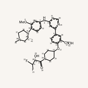 COc1nc(Nc2cc(-c3ccc(OC4CCN(C(=O)[C@@H](O)C(F)F)CC4)c(C#N)c3)ncn2)ccc1N1CCN(C)C[C@H]1C.Cl